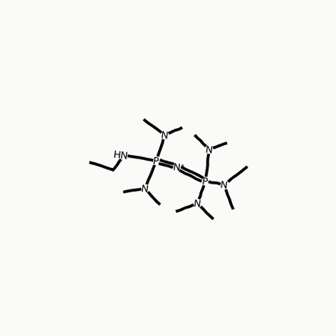 CCNP(=[N+]=P(N(C)C)(N(C)C)N(C)C)(N(C)C)N(C)C